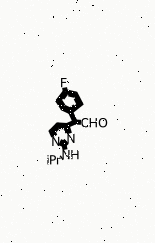 CC(C)Nc1nccc(C(C=O)c2ccc(F)cc2)n1